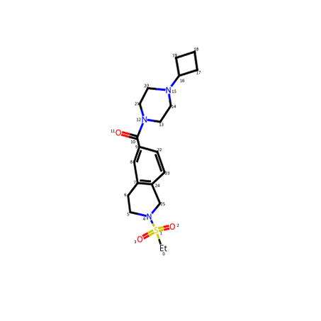 CCS(=O)(=O)N1CCc2cc(C(=O)N3CCN(C4CCC4)CC3)ccc2C1